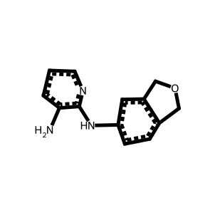 Nc1cccnc1Nc1ccc2c(c1)COC2